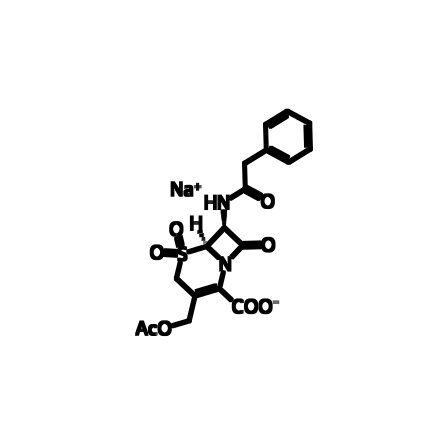 CC(=O)OCC1=C(C(=O)[O-])N2C(=O)[C@H](NC(=O)Cc3ccccc3)[C@@H]2S(=O)(=O)C1.[Na+]